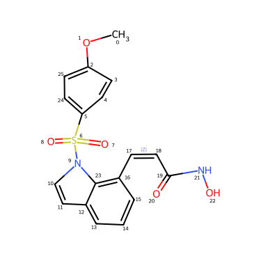 COc1ccc(S(=O)(=O)n2ccc3cccc(/C=C\C(=O)NO)c32)cc1